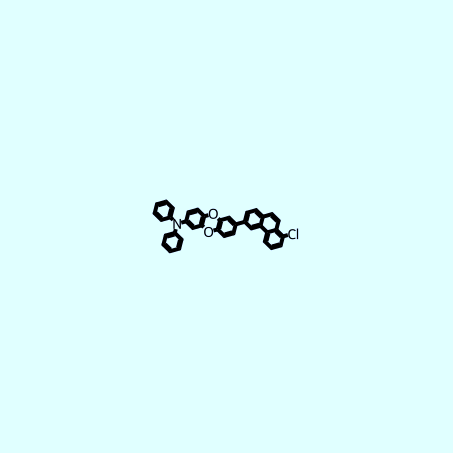 Clc1cccc2c1ccc1ccc(-c3ccc4c(c3)Oc3ccc(N(c5ccccc5)c5ccccc5)cc3O4)cc12